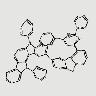 c1ccc(-c2nc(-c3ccccc3)nc(-c3cccc4oc5ccc(-c6ccc7c(c6)c6c(ccc8c9ccccc9n(-c9ccccc9)c86)n7-c6ccccc6)cc5c34)n2)cc1